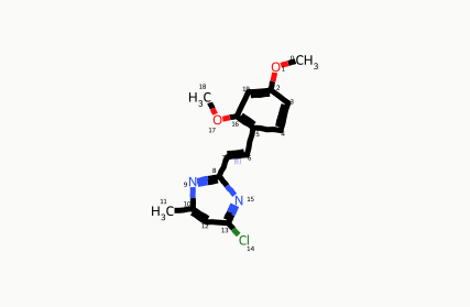 COc1ccc(/C=C/c2nc(C)cc(Cl)n2)c(OC)c1